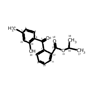 Cc1ccc(C(=O)c2ccccc2C(=O)OC(C)C)c(O)c1